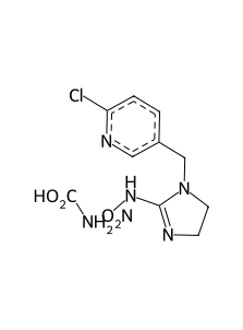 NC(=O)O.O=[N+]([O-])NC1=NCCN1Cc1ccc(Cl)nc1